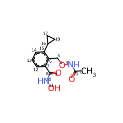 CC(=O)NOCc1c(C(=O)NO)cccc1C1CC1